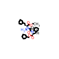 CCOC(=O)[C@H](CCc1ccccc1)N(N)[C@@H](C)C(=O)N1[C@H](C(=O)OCc2ccccc2)C[C@H]2CCCC[C@@H]21